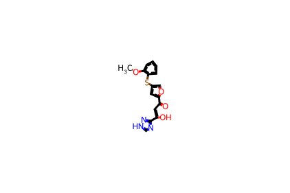 COc1ccccc1Sc1coc(C(=O)C=C(O)c2nc[nH]n2)c1